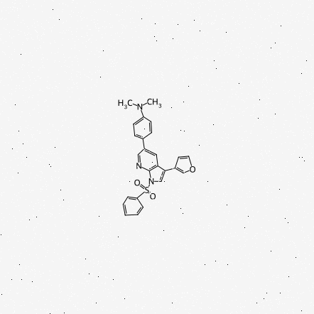 CN(C)c1ccc(-c2cnc3c(c2)c(-c2ccoc2)cn3S(=O)(=O)c2ccccc2)cc1